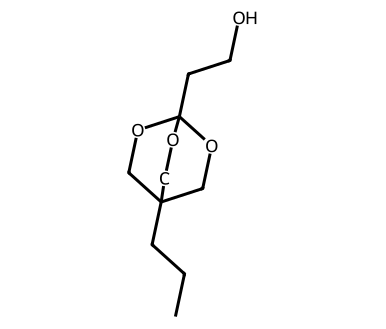 CCCC12COC(CCO)(OC1)OC2